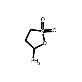 O=S1(=O)CCC(P)O1